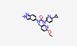 CCOc1ccc2c(n1)N(c1ccc(C3CC3)nc1)C(=O)N(c1ccc3nn(C)cc3c1)C2